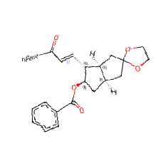 CCCCCC(=O)/C=C/[C@@H]1[C@H]2CC3(C[C@H]2C[C@H]1OC(=O)c1ccccc1)OCCO3